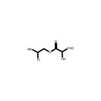 CCCCC(CC)COC(=O)C(O)C=O